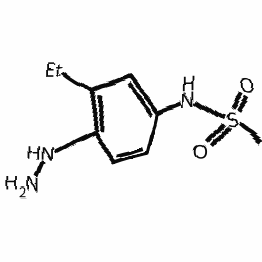 CCc1cc(NS(C)(=O)=O)ccc1NN